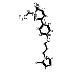 Cc1cccn1CCCOc1ccc(-c2ccc(=O)n(CC(F)(F)F)n2)cc1